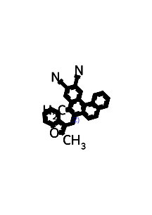 C=c1/c(=C\c2c(C)oc3ccccc23)c2ccc3ccccc3c2c2cc(C#N)c(C#N)cc12